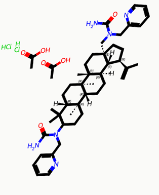 C=C(C)[C@@H]1CC[C@]2(CN(Cc3ccccn3)C(N)=O)CC[C@]3(C)[C@H](CC[C@@H]4[C@@]5(C)CCC(N(Cc6ccccn6)C(N)=O)C(C)(C)[C@@H]5CC[C@]43C)[C@@H]12.CC(=O)O.CC(=O)O.Cl.Cl